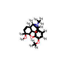 [2H]OC1([2H])C=C[C@]2([2H])[C@@]34CCN(C([2H])([2H])[2H])[C@]2([2H])C([2H])([2H])c2c([2H])c([2H])c(OC([2H])([2H])[2H])c(c23)OC14